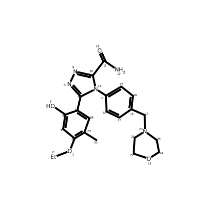 CCOc1cc(O)c(-c2nnc(C(N)=O)n2-c2ccc(CN3CCOCC3)cc2)cc1C